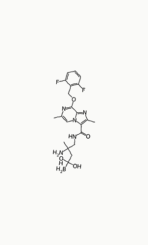 BC(O)(O)CC(C)(N)CNC(=O)c1c(C)nc2c(OCc3c(F)cccc3F)nc(C)cn12